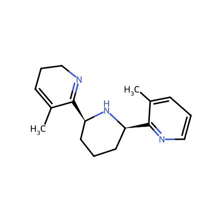 CC1=CCCN=C1[C@@H]1CCC[C@H](c2ncccc2C)N1